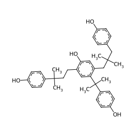 CC(C)(Cc1ccc(O)cc1)Cc1cc(O)c(CCC(C)(C)c2ccc(O)cc2)cc1C(C)(C)c1ccc(O)cc1